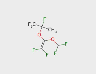 CC(F)(OC(OC(F)F)=C(F)F)C(F)(F)F